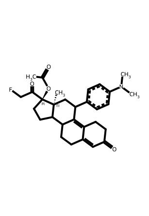 CC(=O)O[C@]1(C(=O)CF)CCC2C3CCC4=CC(=O)CCC4=C3C(c3ccc(N(C)C)cc3)C[C@@]21C